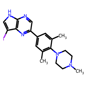 Cc1cc(-c2cnc3[nH]cc(I)c3n2)cc(C)c1N1CCN(C)CC1